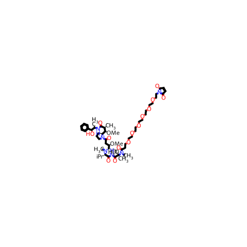 CC[C@H](C)[C@@H]([C@@H](CC(=O)N1CCC[C@H]1[C@H](OC)[C@@H](C)C(=O)N[C@H](C)[C@@H](O)c1ccccc1)OC)N(C)[C@H](C(=O)NC(=O)C(C)(C)N(C)C(=O)CCOCCOCCOCCOCCOCCOCCN1C(=O)C=CC1=O)C(C)C